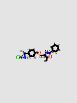 Cc1oc(-c2ccccc2)nc1COc1ccc([C@H](C)NCl)cc1